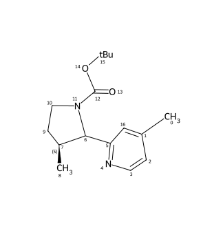 Cc1ccnc(C2[C@@H](C)CCN2C(=O)OC(C)(C)C)c1